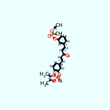 C#COP(C)(=O)Oc1cccc(/C=C/C(=O)/C=C/c2cccc(OP(=O)(OCC)OCC)c2)c1